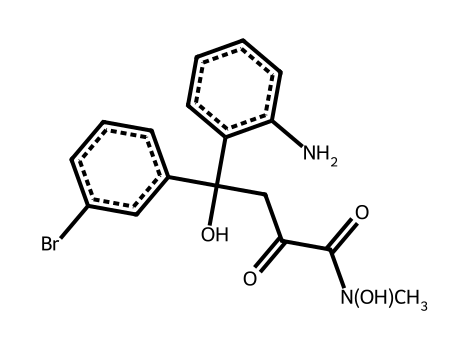 CN(O)C(=O)C(=O)CC(O)(c1cccc(Br)c1)c1ccccc1N